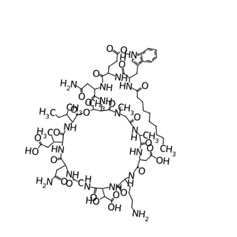 CCCCCCCCCC(=O)NC(Cc1c[nH]c2ccccc12)C(=O)NC(CCC(=O)O)C(=O)NC(CC(N)=O)C(=O)NC1C(=O)N(C)CC(=O)NC(C)C(=O)NC(CC(=O)O)C(=O)NC(CCCCN)C(=O)NC(C(O)C(=O)O)C(=O)NCC(=O)NC(CC(N)=O)C(=O)NC(C(C)CC(=O)O)C(=O)NC(C(C)CC)C(=O)OC1C